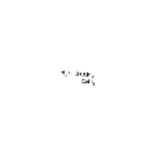 [AlH3].[GaH3].[InH3].[Zn]